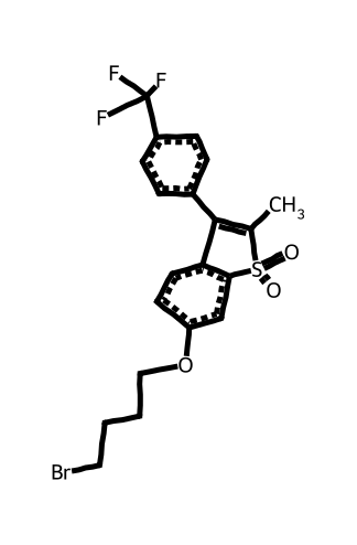 CC1=C(c2ccc(C(F)(F)F)cc2)c2ccc(OCCCCBr)cc2S1(=O)=O